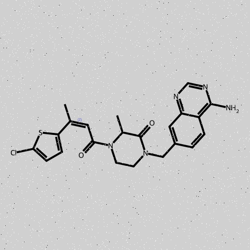 C/C(=C/C(=O)N1CCN(Cc2ccc3c(N)ncnc3c2)C(=O)C1C)c1ccc(Cl)s1